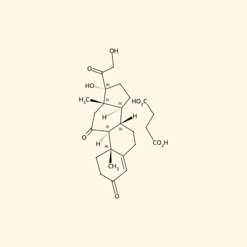 C[C@]12CCC(=O)C=C1CC[C@@H]1[C@@H]2C(=O)C[C@@]2(C)[C@H]1CC[C@]2(O)C(=O)CO.O=C(O)CCC(=O)O